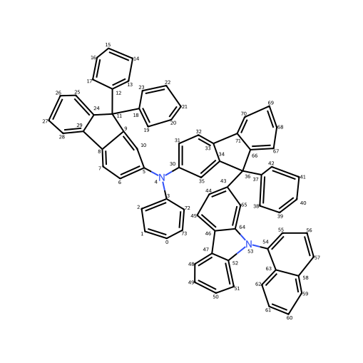 c1ccc(N(c2ccc3c(c2)C(c2ccccc2)(c2ccccc2)c2ccccc2-3)c2ccc3c(c2)C(c2ccccc2)(c2ccc4c5ccccc5n(-c5cccc6ccccc56)c4c2)c2ccccc2-3)cc1